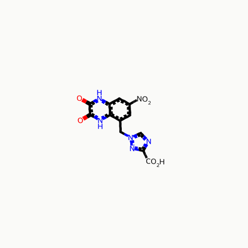 O=C(O)c1ncn(Cc2cc([N+](=O)[O-])cc3[nH]c(=O)c(=O)[nH]c23)n1